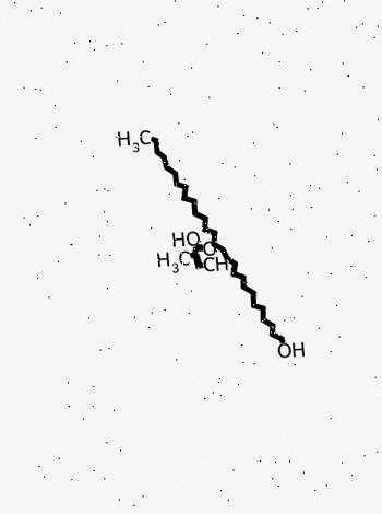 CC=C(C)C(=O)O.CCCCCCCCCCCCCCCCCCCCCCCCCCCCO